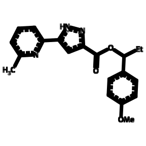 CCC(OC(=O)c1cc(-c2cccc(C)n2)[nH]n1)c1ccc(OC)cc1